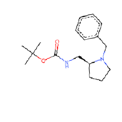 CC(C)(C)OC(=O)NC[C@@H]1CCCN1Cc1ccccc1